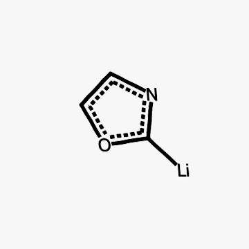 [Li][c]1ncco1